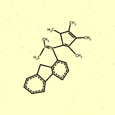 CC1=C(C)C(C)[C]([Ti]([c]2cccc3c2Cc2ccccc2-3)=[Si](C)C)=C1C